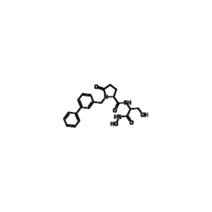 O=C(NO)C(CO)NC(=O)C1CCC(=O)N1Cc1cccc(-c2ccccc2)c1